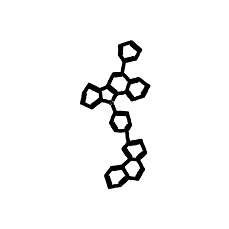 c1ccc(-c2cc3c4ccccc4n(-c4ccc(-c5ccc6ccc7ccccc7c6c5)cc4)c3c3ccccc23)cc1